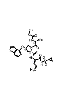 C=C/C=C(/NC(=O)[C@@H]1C[C@@H](Oc2nccc3sccc23)CN1C(=O)[C@@H](NC(=O)OC(C)(C)C)C(C)(C)C)C(=O)NS(=O)(=O)C1CC1